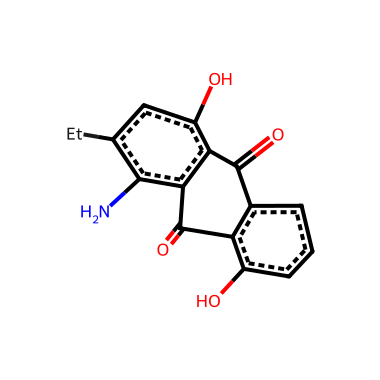 CCc1cc(O)c2c(c1N)C(=O)c1c(O)cccc1C2=O